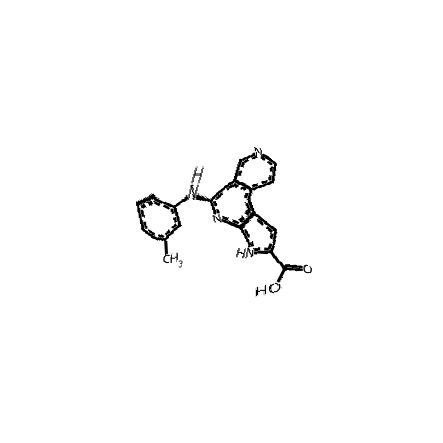 Cc1cccc(Nc2nc3[nH]c(C(=O)O)cc3c3ccncc23)c1